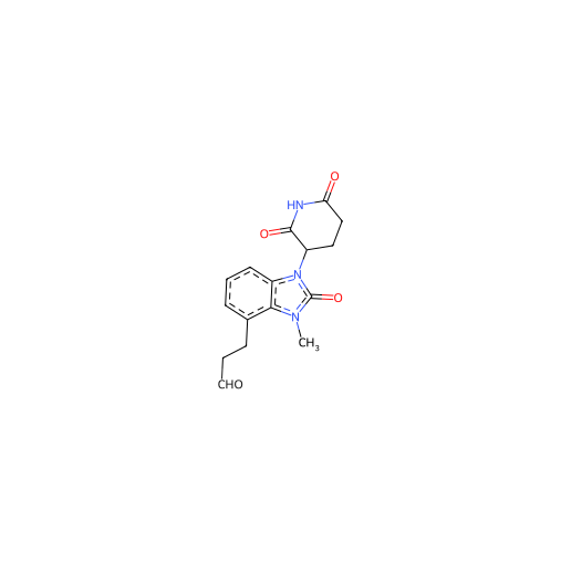 Cn1c(=O)n(C2CCC(=O)NC2=O)c2cccc(CCC=O)c21